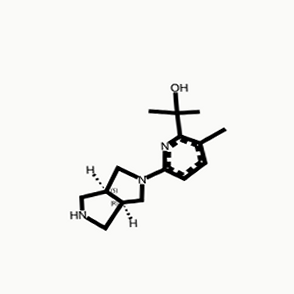 Cc1ccc(N2C[C@H]3CNC[C@H]3C2)nc1C(C)(C)O